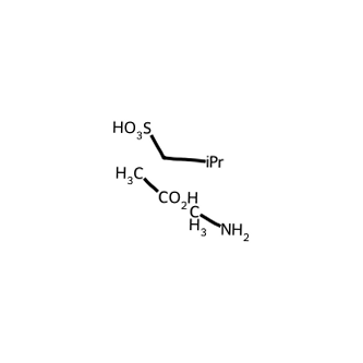 CC(=O)O.CC(C)CS(=O)(=O)O.CN